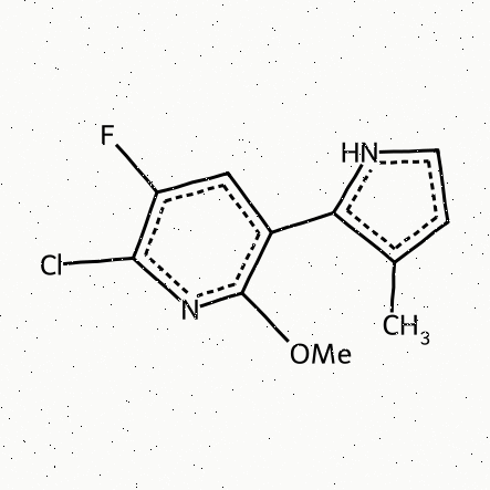 COc1nc(Cl)c(F)cc1-c1[nH]ccc1C